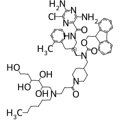 CCCCCCN(CCC(=O)N1CCC(CN(C[C@H](CNC(=O)c2nc(Cl)c(N)nc2N)Cc2ccccc2C)C(=O)OCC2c3ccccc3-c3ccccc32)CC1)CC(O)C(O)C(O)CCO